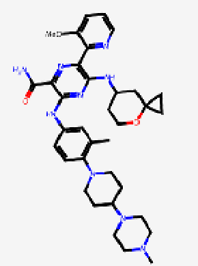 COc1cccnc1-c1nc(C(N)=O)c(Nc2ccc(N3CCC(N4CCN(C)CC4)CC3)c(C)c2)nc1NC1CCOC2(CC2)C1